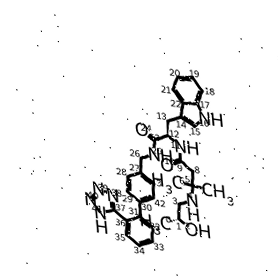 C[C@@H](O)CNC(C)(C)CC(=O)N[C@H](Cc1c[nH]c2ccccc12)C(=O)NCc1ccc(-c2ccccc2-c2nnn[nH]2)cc1